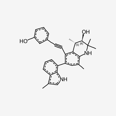 Cc1cc(-c2cccc3c(C)c[nH]c23)c(C#Cc2cccc(O)c2)c2c1NC(C)(C)[C@H](O)[C@H]2C